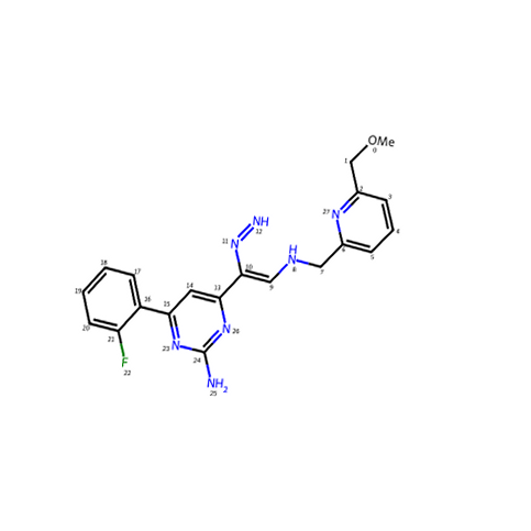 COCc1cccc(CN/C=C(\N=N)c2cc(-c3ccccc3F)nc(N)n2)n1